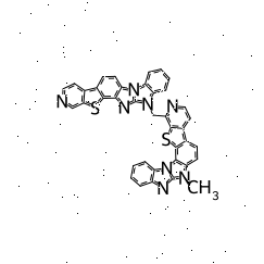 Cn1c2ccc3c4ccnc(Cn5c6ccccc6n6c7ccc8c9ccncc9sc8c7nc56)c4sc3c2n2c3ccccc3nc12